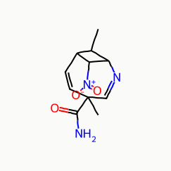 CC1C2/C=C\C(C)(C(N)=O)/C=N\C1C2[N+](=O)[O-]